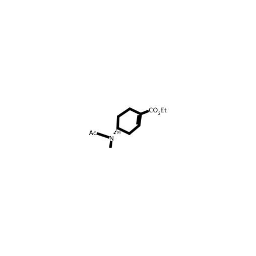 CCOC(=O)C1=CC[C@H](N(C)C(C)=O)CC1